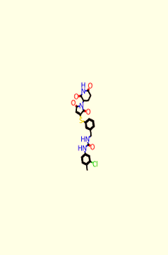 Cc1ccc(NC(=O)NCc2cccc(SC3=CC(=O)N(C4CCC(=O)NC4=O)C3=O)c2)cc1Cl